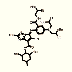 CCCCC(CC)CNC(=O)c1cc(N(CC(CC)CCCC)CC(CC)CCCC)ccc1/N=C1\C(C#N)=C(C(=O)OC2C(C(C)(C)C)CC(C)CC2C(C)(C)C)c2nc(C(C)(C)C)nn21